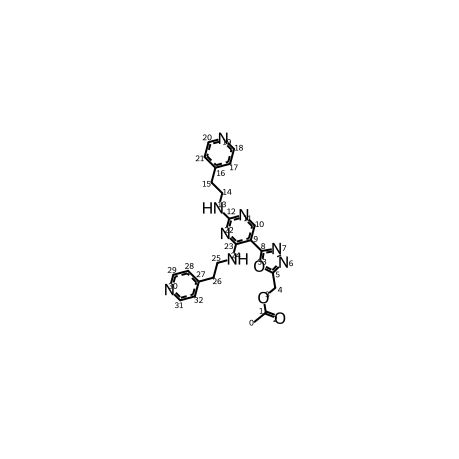 CC(=O)OCc1nnc(-c2cnc(NCCc3ccncc3)nc2NCCc2ccncc2)o1